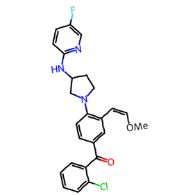 CO/C=C\c1cc(C(=O)c2ccccc2Cl)ccc1N1CCC(Nc2ccc(F)cn2)C1